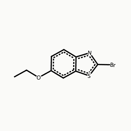 CCOc1ccc2nc(Br)sc2c1